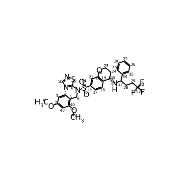 COc1ccc(CN(c2ncns2)S(=O)(=O)c2ccc3c(c2)OCC[C@@H]3NC(CCC(F)(F)F)c2ccccc2)c(OC)c1